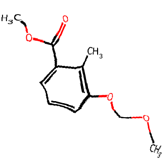 COCOc1cccc(C(=O)OC)c1C